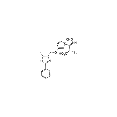 CC[C@@H](C(=N)S1(C=O)C=CC(OCc2nc(-c3ccccc3)oc2C)=C1)C(=O)O